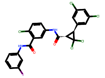 O=C(Nc1cccc(I)c1)c1cc(NC(=O)[C@@H]2[C@@H](c3cc(Cl)cc(Cl)c3)C2(Cl)Cl)ccc1Cl